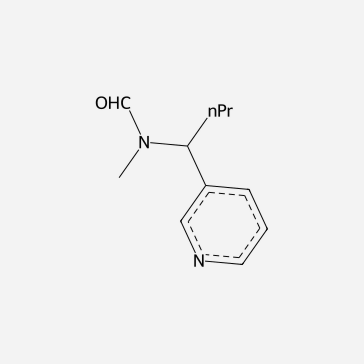 CCCC(c1cccnc1)N(C)C=O